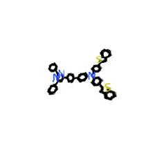 c1ccc(-c2cc(-c3ccc(-c4ccc(N(c5ccc(-c6cc7ccccc7s6)cc5)c5ccc(-c6cc7ccccc7s6)cc5)cc4)cc3)nc(-c3ccccc3)n2)cc1